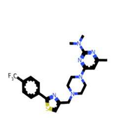 Cc1cc(N2CCN(Cc3csc(-c4ccc(C(F)(F)F)cc4)n3)CC2)nc(N(C)C)n1